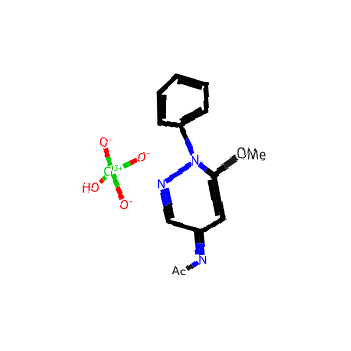 COc1cc(=NC(C)=O)cnn1-c1ccccc1.[O-][Cl+3]([O-])([O-])O